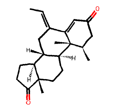 C/C=C1\C[C@@H]2[C@H](CC[C@]3(C)C(=O)CC[C@@H]23)[C@]2(C)C1=CC(=O)C[C@H]2C